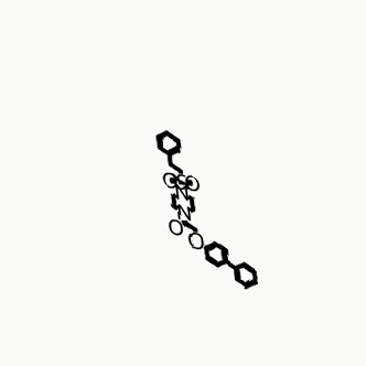 O=C(COc1ccc(-c2ccccc2)cc1)N1CCN(S(=O)(=O)CCc2ccccc2)CC1